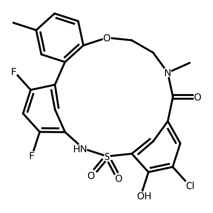 Cc1ccc2c(c1)-c1cc(c(F)cc1F)NS(=O)(=O)c1cc(cc(Cl)c1O)C(=O)N(C)CCO2